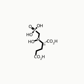 O=C(O)CC[C@@H](C(=O)O)N(O)CP(=O)(O)O